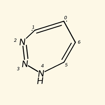 [C]1=[C]N=NNC=C1